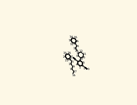 C#Cc1ccc(C#C)c(C2CCCCC2)c1.CCCCCCc1ccccc1.CCCc1ccccc1